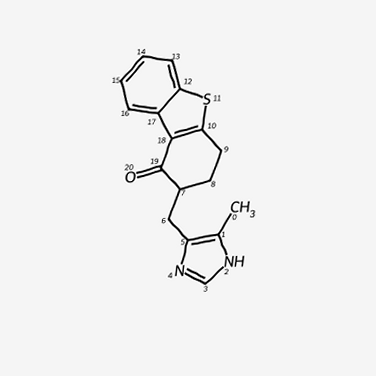 Cc1[nH]cnc1CC1CCc2sc3ccccc3c2C1=O